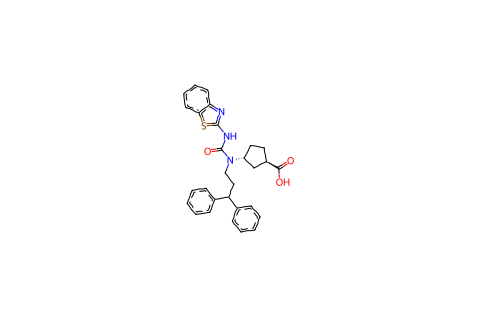 O=C(O)[C@@H]1CC[C@@H](N(CCC(c2ccccc2)c2ccccc2)C(=O)Nc2nc3ccccc3s2)C1